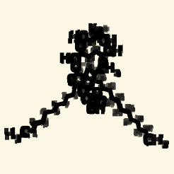 CCCCCCCCCCCCC1(C(=O)[O-])CC(C)C1(CCCCCCCCCCCC)C(=O)OS(=O)(=O)O.O=C(O)CCC(=O)O.OCCO.[Na+]